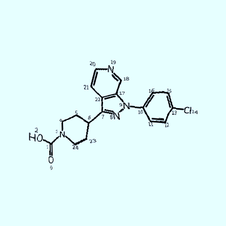 O=C(O)N1CCC(c2nn(-c3ccc(Cl)cc3)c3cnccc23)CC1